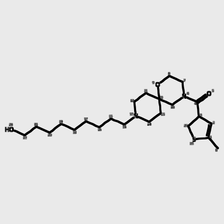 CC1=CC(C(=O)N2CCOC3(CCN(CCCCCCCCCO)CC3)C2)CS1